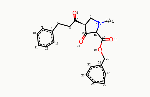 CC(=O)N1C[C@H](C(=O)CCc2ccccc2)C(=O)C1C(=O)OCc1ccccc1